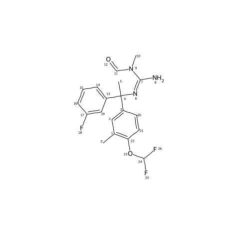 Cc1cc(C(C)(/N=C(/N)N(C)C=O)c2cccc(F)c2)ccc1OC(F)F